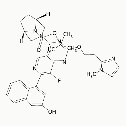 Cn1ccnc1CCOc1nc(N2C[C@H]3CC[C@@H](C2)N3C(=O)OC(C)(C)C)c2cnc(-c3cc(O)cc4ccccc34)c(F)c2n1